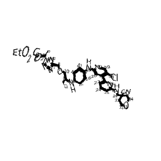 CCOC(=O)O[C@@H](C)n1nnc(COC[C@H](C)N[C@H]2CC[C@H](Nc3cc(-c4cccc(NCC5(C#N)CCOCC5)n4)c(Cl)cn3)CC2)n1